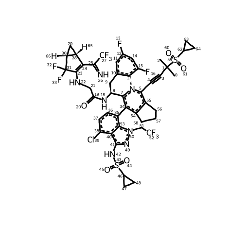 CC(C)(C#Cc1nc([C@H](Cc2cc(F)cc(F)c2)NC(=O)CNC2=C(C(=N)C(F)(F)F)[C@H]3C[C@H]3C2(F)F)c(-c2ccc(Cl)c3c(NS(=O)(=O)C4CC4)nn(CC(F)(F)F)c23)c2c1CCC2)S(=O)(=O)C1CC1